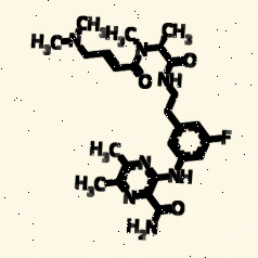 Cc1nc(Nc2cc(F)cc(CCNC(=O)[C@H](C)N(C)C(=O)/C=C/CN(C)C)c2)c(C(N)=O)nc1C